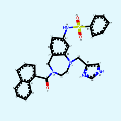 O=C(c1cccc2ccccc12)N1CCN(Cc2c[nH]cn2)c2cc(NS(=O)(=O)c3ccccc3)ccc2C1